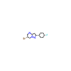 Fc1ccc(-c2cc3ncc(Br)cn3n2)cc1